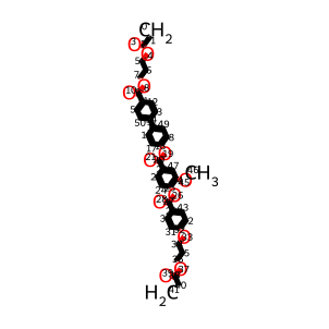 C=CC(=O)OCCCOC(=O)c1ccc(-c2ccc(OC(=O)c3ccc(OC(=O)c4ccc(OCCCOC(=O)C=C)cc4)c(OC)c3)cc2)cc1